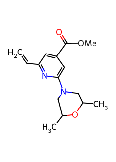 C=Cc1cc(C(=O)OC)cc(N2CC(C)OC(C)C2)n1